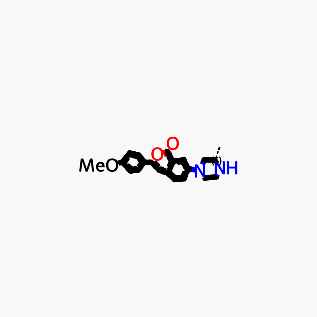 COc1ccc(-c2cc3ccc(N4CCN[C@@H](C)C4)cc3c(=O)o2)cc1